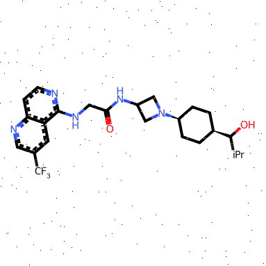 CC(C)C(O)[C@H]1CC[C@@H](N2CC(NC(=O)CNc3nccc4ncc(C(F)(F)F)cc34)C2)CC1